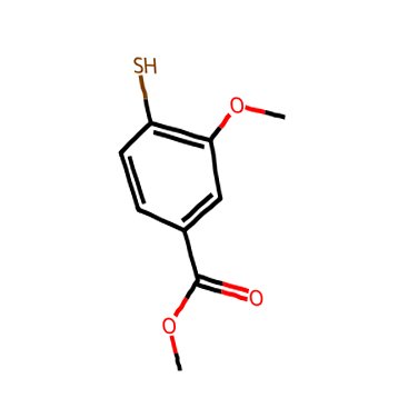 COC(=O)c1ccc(S)c(OC)c1